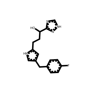 OC(CCc1cc(Cc2ccc(F)cc2)c[nH]1)c1nc[nH]n1